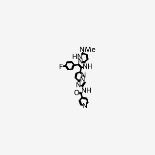 CNC(=N)/C=C\c1nc(-c2ccc(F)cc2)c(-c2ccc3nc(NC(=O)c4ccncc4)cn3n2)[nH]1